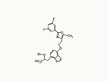 CCOC(Cc1ccc(OCCc2nc(-c3cc(F)cc(F)c3)oc2C)c2ccsc12)C(=O)O